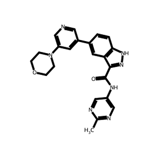 Cc1ncc(NC(=O)c2n[nH]c3ccc(-c4cncc(N5CCOCC5)c4)cc23)cn1